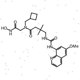 COc1cc(NC(=O)NCC(C)(C)CC(=O)N(CC(=O)NO)CC2CCC2)c2ncccc2c1